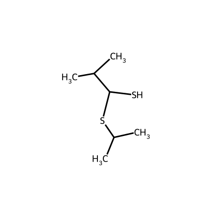 CC(C)SC(S)C(C)C